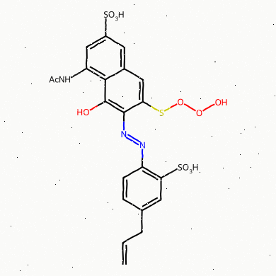 C=CCc1ccc(/N=N/c2c(SOOO)cc3cc(S(=O)(=O)O)cc(NC(C)=O)c3c2O)c(S(=O)(=O)O)c1